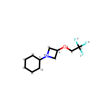 FC(F)(F)COC1CN(C2CCCCC2)C1